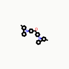 Cc1ccc2c(c1)c1ccccc1n2-c1ccc(C(=O)c2ccc(-n3c4ccccc4c4cc(C)ccc43)cc2)cc1